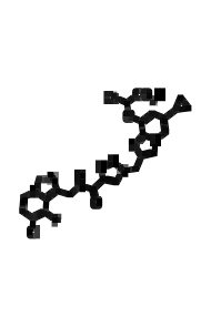 CCC(Oc1cc(C2CC2)cn2cc(Cn3cc(C(=O)NCc4ncn5ccc(Cl)c(F)c45)nn3)nc12)C(=O)O